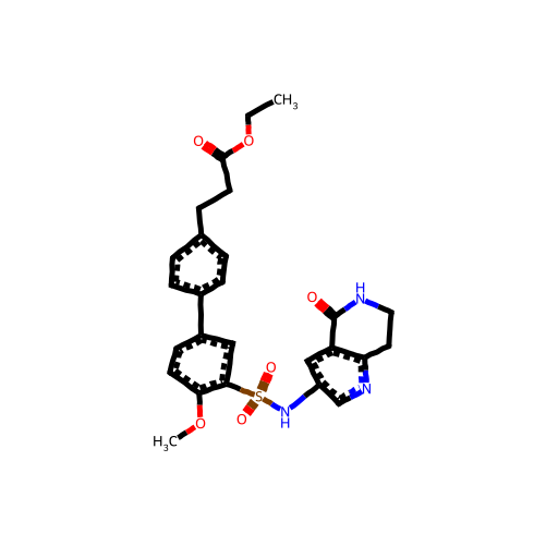 CCOC(=O)CCc1ccc(-c2ccc(OC)c(S(=O)(=O)Nc3cnc4c(c3)C(=O)NCC4)c2)cc1